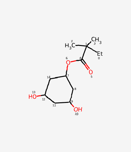 CCC(C)(C)C(=O)OC1CC(O)CC(O)C1